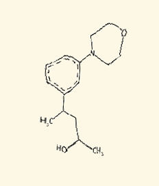 CC(O)CC(C)c1cccc(N2CCOCC2)c1